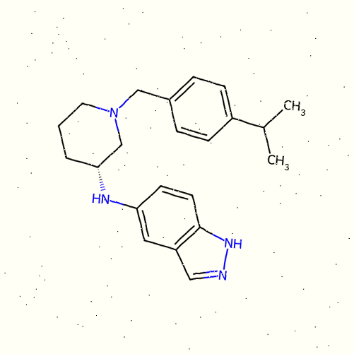 CC(C)c1ccc(CN2CCC[C@@H](Nc3ccc4[nH]ncc4c3)C2)cc1